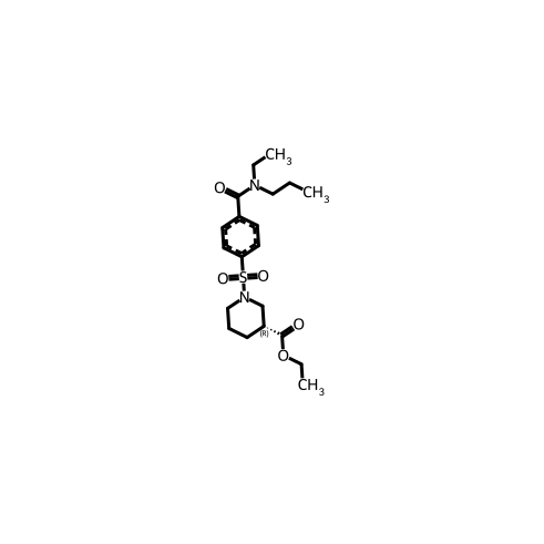 CCCN(CC)C(=O)c1ccc(S(=O)(=O)N2CCC[C@@H](C(=O)OCC)C2)cc1